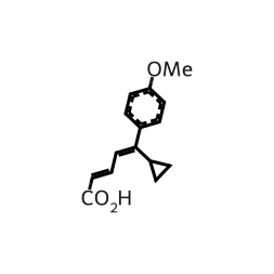 COc1ccc(/C(=C/C=C/C(=O)O)C2CC2)cc1